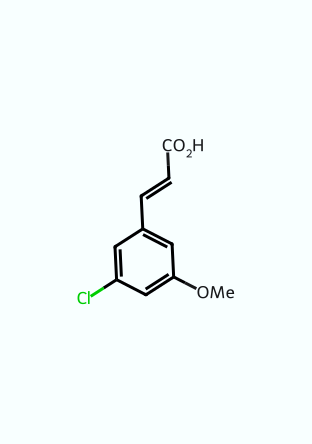 COc1cc(Cl)cc(C=CC(=O)O)c1